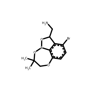 CC1(C)COc2ccc(Br)c3c2B(OC3CN)O1